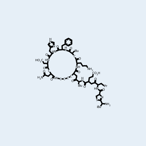 CCC(C)C(N)C1=NC(C(=O)NC(CC(C)C)C(=O)CC(CCC(=O)O)C(=O)NC(C(=O)CC2CCCCNC(=O)C(CC(N)=O)CC(=O)C(CC(=O)O)NC(=O)C(Cc3c[nH]cn3)NC(=O)C(Cc3ccccc3)NC(=O)C(C(C)CC)CC(=O)C(CCCN)NC2=O)C(C)CC)CS1